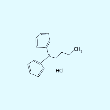 CCCCP(c1ccccc1)c1ccccc1.Cl